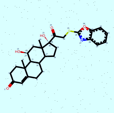 CC12CCC(=O)C=C1CCC1C2[C@@H](O)CC2(C)C1CC[C@]2(O)C(=O)CSc1nc2ccccc2o1